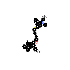 Cc1ccc([Si]2(c3ccc(C)cc3)c3ccccc3-c3cc4c(-c5ccc(C(C)C)cc5)cc5c6oc7ccc(C(C)(C)CCC(C)(C)c8ccc9sc%10c(cc%11ccc%12c%13c(cc%14c%15cc(C(C)(C)C)ccc%15n(-c%15ccccc%15)c%14%12)c(-c%12c(C)cccc%12C)cc%10c%11%13)c9c8)cc7c6cc6ccc(c32)c4c65)cc1